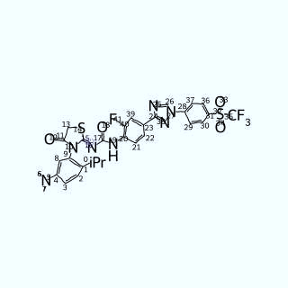 CC(C)c1ccc(N(C)C)cc1N1C(=O)CS/C1=N\C(=O)Nc1ccc(-c2ncn(-c3ccc(S(=O)(=O)C(F)(F)F)cc3)n2)cc1F